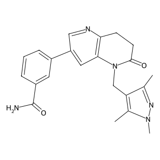 Cc1nn(C)c(C)c1CN1C(=O)CCc2ncc(-c3cccc(C(N)=O)c3)cc21